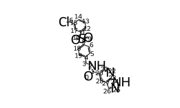 O=C(NCc1ccc(S(=O)(=O)c2cccc(Cl)c2)cc1)c1cnc2[nH]ncc2c1